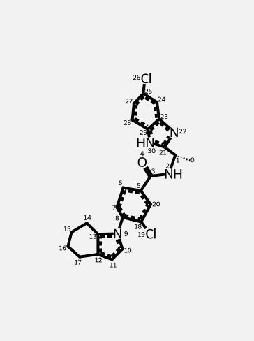 C[C@H](NC(=O)c1ccc(-n2ccc3c2CCCC3)c(Cl)c1)c1nc2cc(Cl)ccc2[nH]1